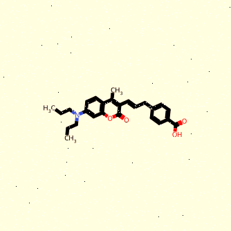 CCCN(CCC)c1ccc2c(C)c(/C=C/Cc3ccc(C(=O)O)cc3)c(=O)oc2c1